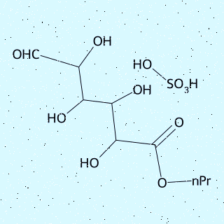 CCCOC(=O)C(O)C(O)C(O)C(O)C=O.O=S(=O)(O)O